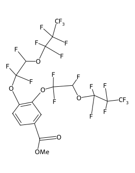 COC(=O)c1ccc(OC(F)(F)C(F)OC(F)(F)C(F)(F)C(F)(F)F)c(OC(F)(F)C(F)OC(F)(F)C(F)(F)C(F)(F)F)c1